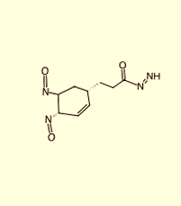 N=NC(=O)CC[C@@H]1C=C[C@H](N=O)C(N=O)C1